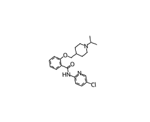 CC(C)N1CCC(COc2ccccc2C(=O)Nc2ccc(Cl)cn2)CC1